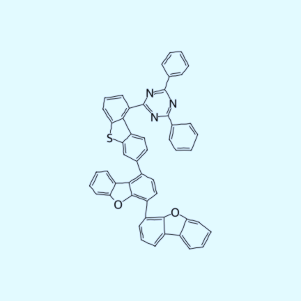 c1ccc(-c2nc(-c3ccccc3)nc(-c3cccc4sc5cc(-c6ccc(-c7cccc8c7oc7ccccc78)c7oc8ccccc8c67)ccc5c34)n2)cc1